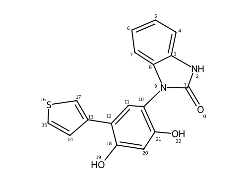 O=c1[nH]c2ccccc2n1-c1cc(-c2ccsc2)c(O)cc1O